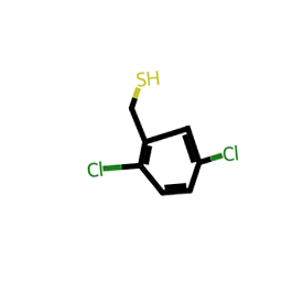 SCc1cc(Cl)ccc1Cl